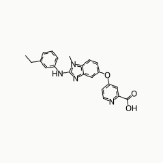 CCc1cccc(Nc2nc3cc(Oc4ccnc(C(=O)O)c4)ccc3n2C)c1